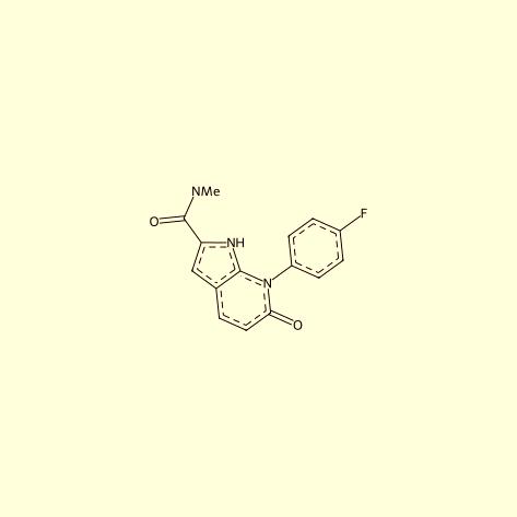 CNC(=O)c1cc2ccc(=O)n(-c3ccc(F)cc3)c2[nH]1